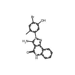 Cc1cc(Br)c(O)cc1-n1nc2c(c1N)c(=O)[nH]c1ccccc12